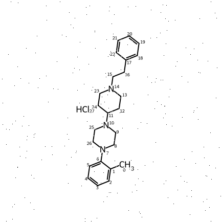 Cc1ccccc1N1CCN(C2CCN(CCc3ccccc3)CC2)CC1.Cl